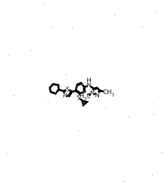 Cc1cc(Nc2ccc(-c3cnc(C4CCCCC4)s3)c(SC3CC3)c2)n(C)n1